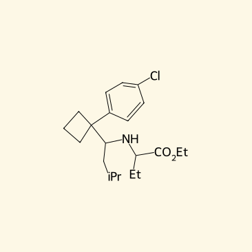 CCOC(=O)C(CC)NC(CC(C)C)C1(c2ccc(Cl)cc2)CCC1